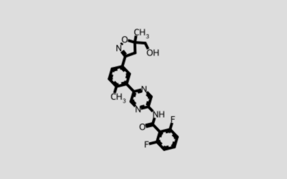 Cc1ccc(C2=NOC(C)(CO)C2)cc1-c1cnc(NC(=O)c2c(F)cccc2F)cn1